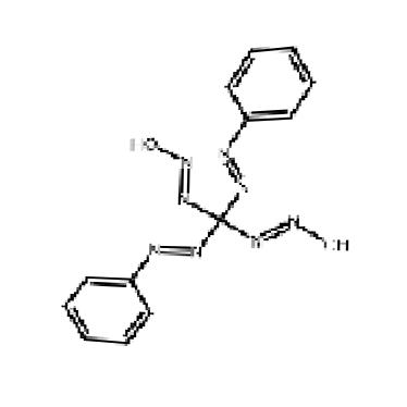 ON=NC(N=NO)(N=Nc1ccccc1)N=Nc1ccccc1